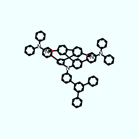 N#Cc1ccc2c(c1)C1(c3cc(C#N)ccc3-2)c2cc(-c3ccc(N(c4ccccc4)c4ccccc4)cc3)ccc2N(c2cccc(-c3cc(-c4ccccc4)cc(-c4ccccc4)c3)c2)c2ccc(-c3ccc(N(c4ccccc4)c4ccccc4)cc3)cc21